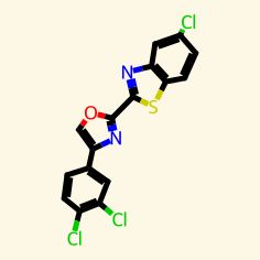 Clc1ccc2sc(-c3nc(-c4ccc(Cl)c(Cl)c4)co3)nc2c1